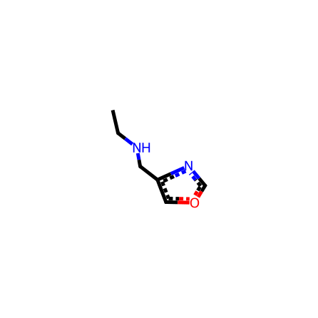 CCNCc1cocn1